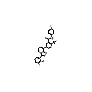 O=C(Nc1ccc(F)cc1)c1cc(-c2cccn3c(-c4cccc(F)c4F)cnc23)cnc1C(F)(F)F